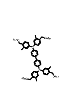 COCc1ccc(N(c2ccc(-c3ccc(N(c4ccc(COC)c(C)c4)c4ccc(COC)c(C)c4)cc3)cc2)c2ccc(COC)c(C)c2)cc1C